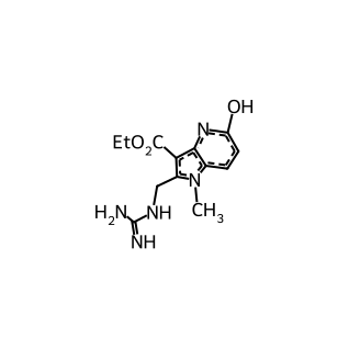 CCOC(=O)c1c(CNC(=N)N)n(C)c2ccc(O)nc12